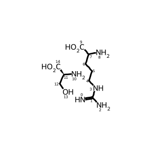 N=C(N)NCCCC(N)C(=O)O.N[C@@H](CO)C(=O)O